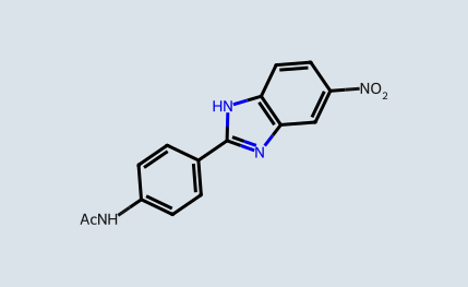 CC(=O)Nc1ccc(-c2nc3cc([N+](=O)[O-])ccc3[nH]2)cc1